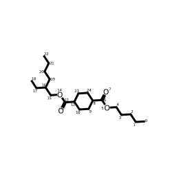 CCCCCOC(=O)C1CCC(C(=O)OCC(CC)CCCC)CC1